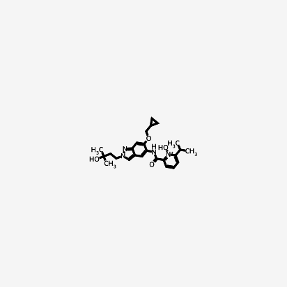 CC(C)c1cccc(C(=O)Nc2cc3cn(CCC(C)(C)O)nc3cc2OCC2CC2)[n+]1O